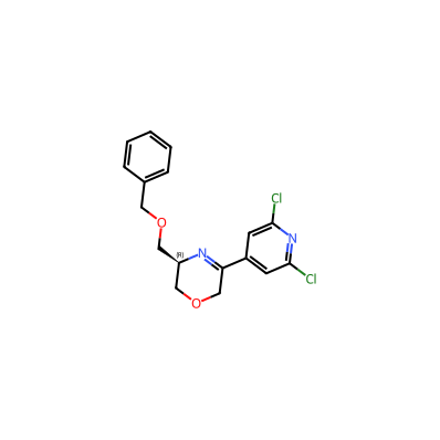 Clc1cc(C2=N[C@H](COCc3ccccc3)COC2)cc(Cl)n1